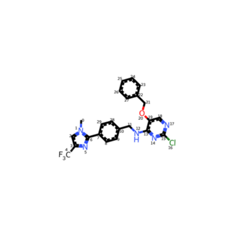 Cn1cc(C(F)(F)F)nc1-c1ccc(CNc2nc(Cl)ncc2OCc2ccccc2)cc1